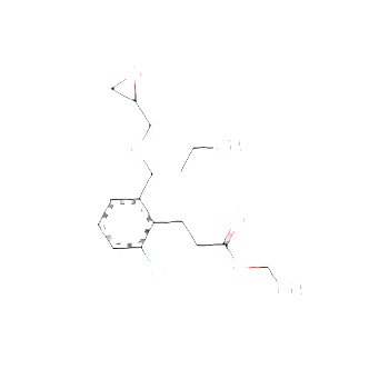 CCC[C@@H](OCC1CO1)c1cccc(Cl)c1CCC(=O)OCC